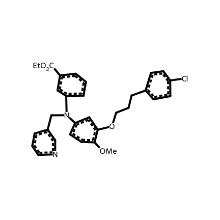 CCOC(=O)c1cccc(N(Cc2cccnc2)c2ccc(OC)c(OCCCc3ccc(Cl)cc3)c2)c1